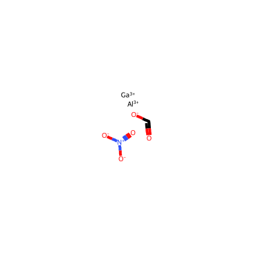 O=C[O-].O=[N+]([O-])[O-].[Al+3].[Ga+3]